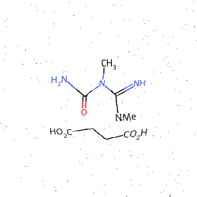 CNC(=N)N(C)C(N)=O.O=C(O)CCC(=O)O